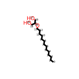 CCCCCCCCCCCCCCOC(CO)CO